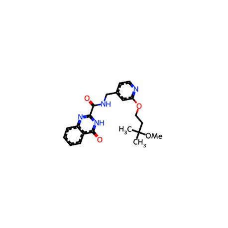 COC(C)(C)CCOc1cc(CNC(=O)c2nc3ccccc3c(=O)[nH]2)ccn1